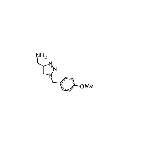 COc1ccc(CN2CC(CN)N=N2)cc1